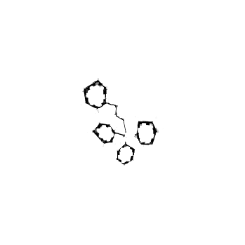 c1ccc(CCC[PH](c2ccccc2)(c2ccccc2)c2ccccc2)cc1